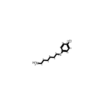 NCCCCCCSc1ccc(Cl)cc1